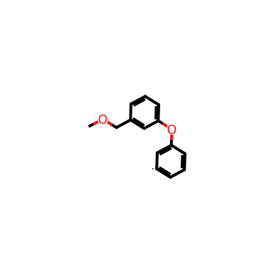 COCc1cccc(Oc2c[c]ccc2)c1